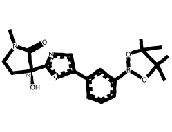 CN1CC[C@@](O)(c2ncc(-c3cccc(B4OC(C)(C)C(C)(C)O4)c3)s2)C1=O